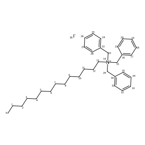 CCCCCCCCCCCCCC[N+](Cc1ccccc1)(Cc1ccccc1)Cc1ccccc1.[I-]